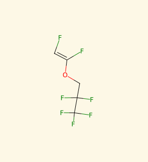 FC=C(F)OCC(F)(F)C(F)(F)F